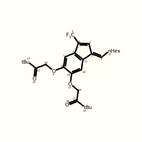 CCCCCC/C=C1\C=C(C(F)(F)F)c2cc(OCC(=O)C(C)(C)C)c(OCC(=O)C(C)(C)C)cc21